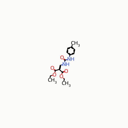 CCOC(=O)C(=CNC(=O)Nc1ccc(C)cc1)C(=O)OCC